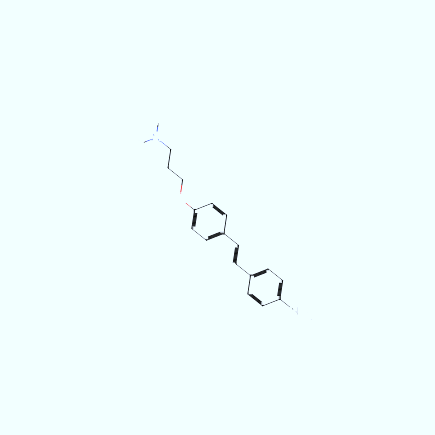 CN(C)CCCOc1ccc(C=Cc2ccc([N+](=O)[O-])cc2)cc1